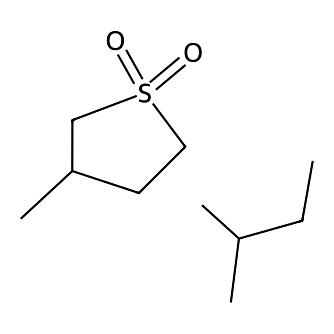 CC1CCS(=O)(=O)C1.CCC(C)C